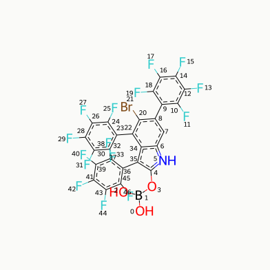 OB(O)Oc1[nH]c2cc(-c3c(F)c(F)c(F)c(F)c3F)c(Br)c(-c3c(F)c(F)c(F)c(F)c3F)c2c1-c1c(F)c(F)c(F)c(F)c1F